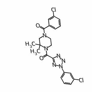 CC1(C)CN(C(=O)c2cccc(Cl)c2)CCN1C(=O)c1nnn(-c2cccc(Cl)c2)n1